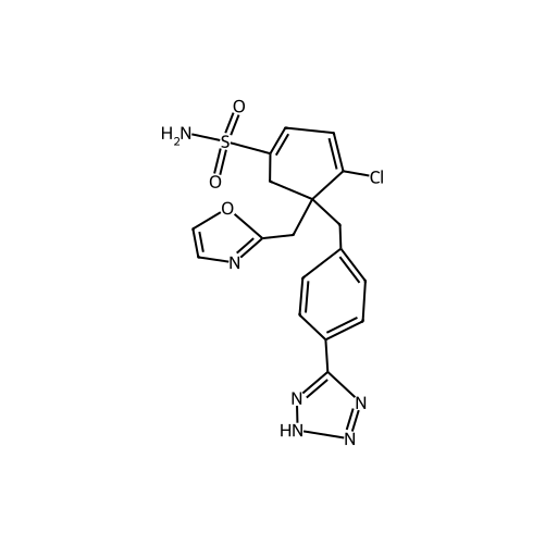 NS(=O)(=O)C1=CC=C(Cl)C(Cc2ccc(-c3nn[nH]n3)cc2)(Cc2ncco2)C1